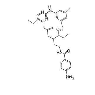 C=C(Cc1nc(Nc2cc(C)cc(C)c2)ncc1CC)CC(CCNC(=O)c1ccc(N)cc1)C(O)CC